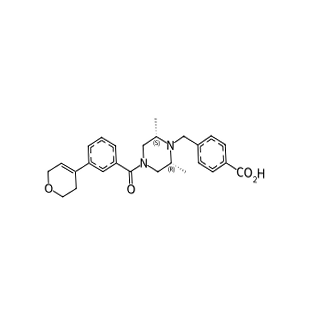 C[C@@H]1CN(C(=O)c2cccc(C3=CCOCC3)c2)C[C@H](C)N1Cc1ccc(C(=O)O)cc1